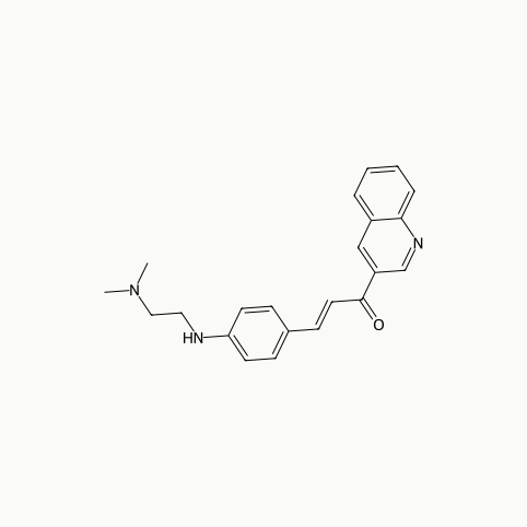 CN(C)CCNc1ccc(C=CC(=O)c2cnc3ccccc3c2)cc1